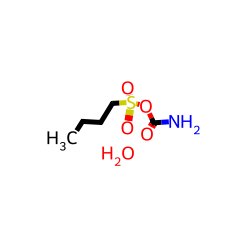 CCCCS(=O)(=O)OC(N)=O.O